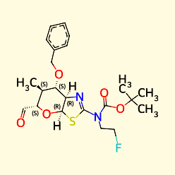 C[C@H]1[C@H](OCc2ccccc2)[C@H]2N=C(N(CCF)C(=O)OC(C)(C)C)S[C@H]2O[C@@H]1C=O